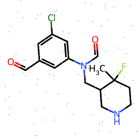 CC1(F)CCNCC1CN(C=O)c1cc(Cl)cc(C=O)c1